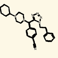 N#Cc1ccc(C(c2nnnn2CCc2ccccc2)N2CCN(C3CCCCC3)CC2)cc1